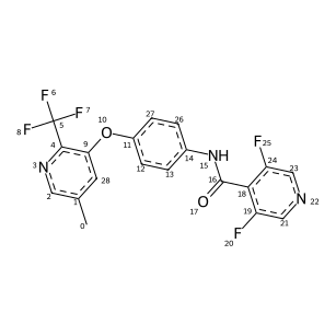 Cc1cnc(C(F)(F)F)c(Oc2ccc(NC(=O)c3c(F)cncc3F)cc2)c1